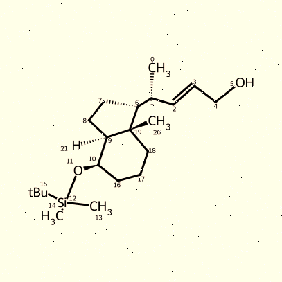 C[C@H](/C=C/CO)[C@H]1CC[C@@H]2[C@H](O[Si](C)(C)C(C)(C)C)CCC[C@@]12C